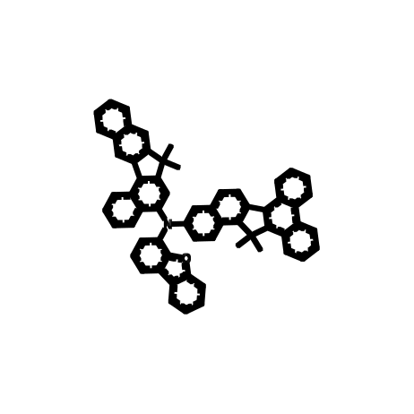 CC1(C)c2cc3ccccc3cc2-c2c1cc(N(c1ccc3c4c(ccc3c1)-c1c(c3ccccc3c3ccccc13)C4(C)C)c1cccc3c1oc1ccccc13)c1ccccc21